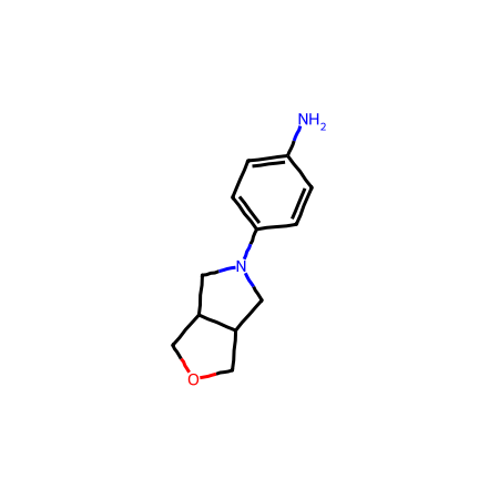 Nc1ccc(N2CC3COCC3C2)cc1